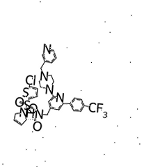 O=C(NCc1cc(-c2ccc(C(F)(F)F)cc2)nc(N2CCN(Cc3cccnc3)CC2)c1)[C@@H]1C=CCN1S(=O)(=O)c1ccc(Cl)s1